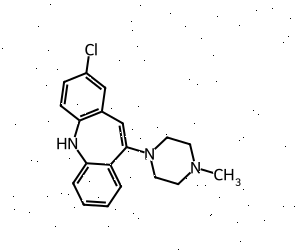 CN1CCN(C2=Cc3cc(Cl)ccc3Nc3ccccc32)CC1